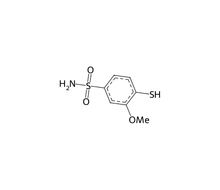 COc1cc(S(N)(=O)=O)ccc1S